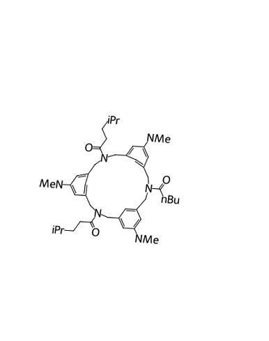 CCCCC(=O)N1Cc2cc(cc(NC)c2)CN(C(=O)CCC(C)C)Cc2cc(cc(NC)c2)CN(C(=O)CCC(C)C)Cc2cc(cc(NC)c2)C1